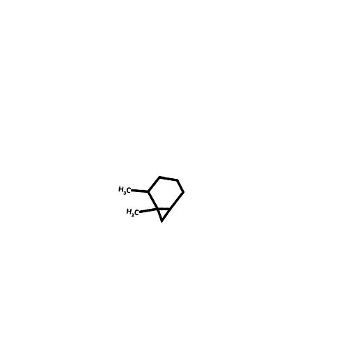 CC1CCCC2CC12C